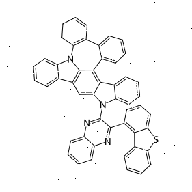 C1=CC2=C(CC1)n1c3ccccc3c3cc4c(c(c31)-c1ccccc12)c1ccccc1n4-c1nc2ccccc2nc1-c1cccc2sc3ccccc3c12